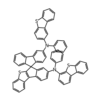 c1ccc(N(c2ccc3c(c2)-c2ccccc2C32c3cc(N(c4ccccc4)c4cccc5c4sc4ccccc45)ccc3-c3c2sc2ccccc32)c2ccc3sc4ccccc4c3c2)cc1